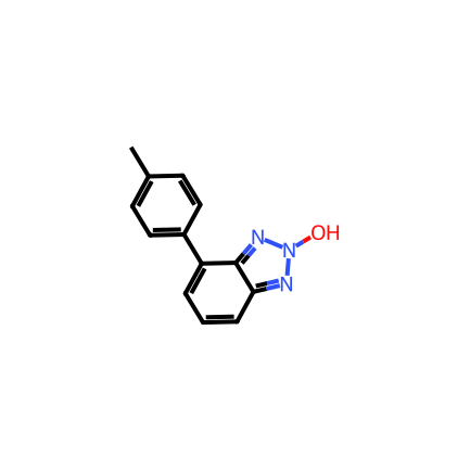 Cc1ccc(-c2cccc3nn(O)nc23)cc1